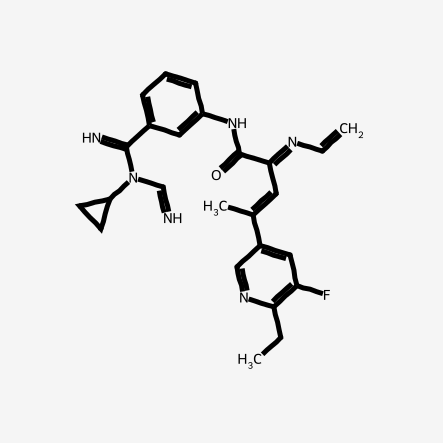 C=C/N=C(\C=C(/C)c1cnc(CC)c(F)c1)C(=O)Nc1cccc(C(=N)N(C=N)C2CC2)c1